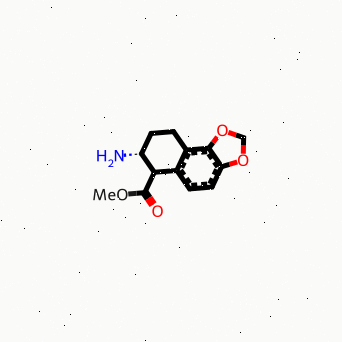 COC(=O)C1c2ccc3c(c2CC[C@H]1N)OCO3